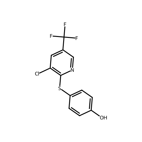 Oc1ccc(Sc2ncc(C(F)(F)F)cc2Cl)cc1